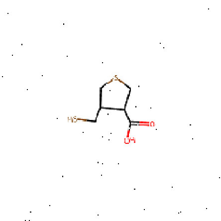 O=C(O)C1CSCC1CS